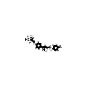 C[C@](O)(CO)COc1ccc(-c2cc(COc3ccc(F)cc3)on2)cc1